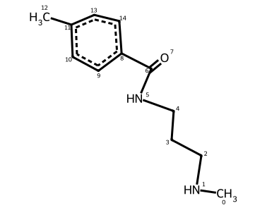 CNCCCNC(=O)c1ccc(C)cc1